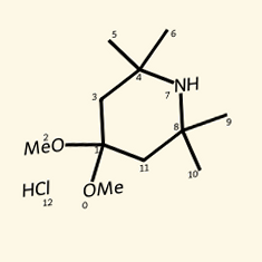 COC1(OC)CC(C)(C)NC(C)(C)C1.Cl